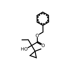 CCC(O)(C(=O)OCc1ccccc1)C1(C)CC1